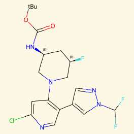 CC(C)(C)OC(=O)N[C@H]1C[C@@H](F)CN(c2cc(Cl)ncc2-c2cnn(C(F)F)c2)C1